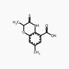 Cc1cc2c(c(C(=O)O)c1)NC(=S)C(C)O2